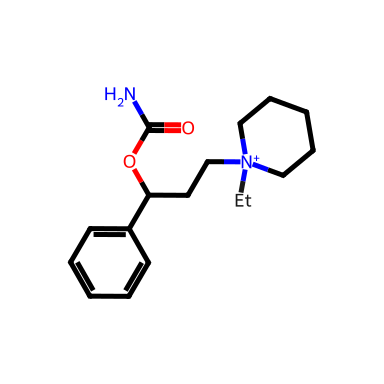 CC[N+]1(CCC(OC(N)=O)c2ccccc2)CCCCC1